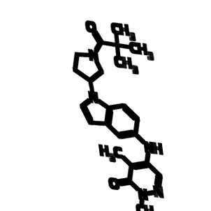 Cc1c(Nc2ccc3c(ccn3C3CCN(C(=O)C(C)(C)C)C3)c2)cnn(C)c1=O